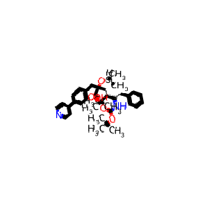 C[SiH](C)OC(Cc1ccc(-c2ccncc2)cc1)(C[C@H]([C@H](Cc1ccccc1)NC(=O)OC(C)(C)C)C(C)(C)C)C(=O)O